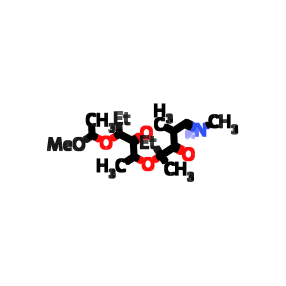 CCC(OC(C)OC)C(=O)C(C)OC(C)(CC)C(=O)C(C)/C=N/C